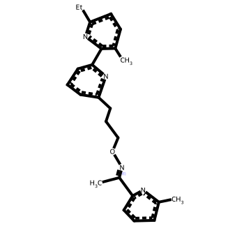 CCc1ccc(C)c(-c2cccc(CCCO/N=C(\C)c3cccc(C)n3)n2)n1